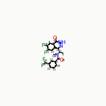 CC(c1n[nH]c(=O)c2cc(F)c(F)cc12)N(C)C(=O)c1cccc(C(F)F)c1